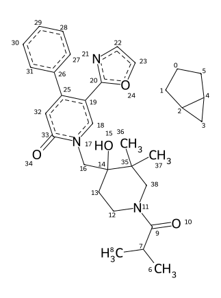 C1CC2CC2C1.CC(C)C(=O)N1CCC(O)(Cn2cc(-c3ncco3)c(-c3ccccc3)cc2=O)C(C)(C)C1